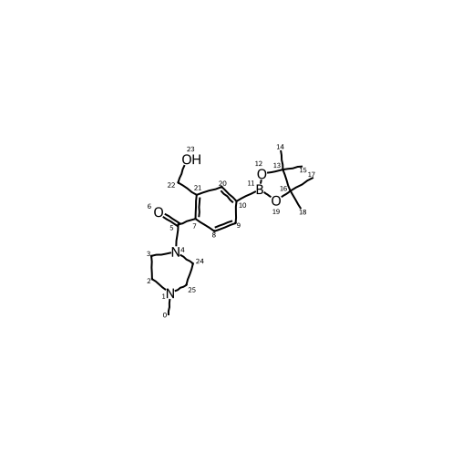 CN1CCN(C(=O)c2ccc(B3OC(C)(C)C(C)(C)O3)cc2CO)CC1